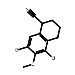 COc1c(Cl)cc2c(c1Cl)CCCC2C#N